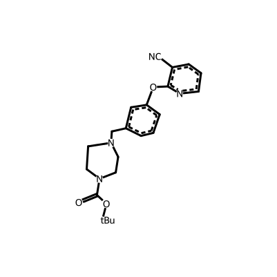 CC(C)(C)OC(=O)N1CCN(Cc2cccc(Oc3ncccc3C#N)c2)CC1